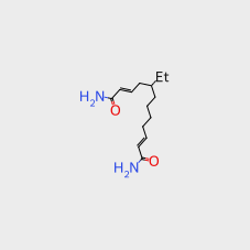 CCC(CC=CC(N)=O)CCCCC=CC(N)=O